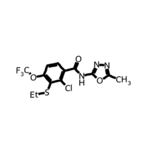 CCSc1c(OC(F)(F)F)ccc(C(=O)Nc2nnc(C)o2)c1Cl